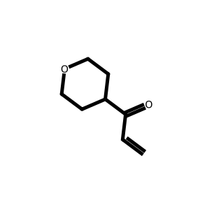 C=CC(=O)C1CCOCC1